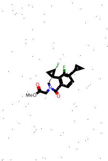 COC(=O)CN1C[C@@]2(C[C@@H]2F)c2c(ccc(C3CC3)c2F)C1=O